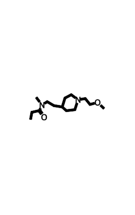 CCC(=O)N(C)CCC1CCN(CCOC)CC1